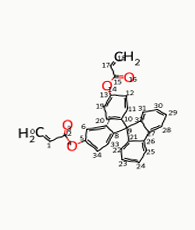 C=CC(=O)Oc1ccc(C2(c3ccc(OC(=O)C=C)cc3)c3ccccc3-c3ccccc32)cc1